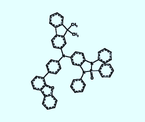 CC1(C)c2ccccc2-c2ccc(N(c3ccc(-c4cccc5c4oc4ccccc45)cc3)c3ccc4c(c3)N(c3ccccc3)P(=O)(c3ccccc3)N4c3ccccc3)cc21